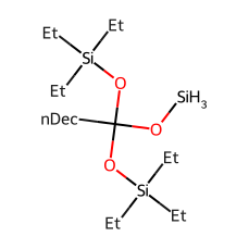 CCCCCCCCCCC(O[SiH3])(O[Si](CC)(CC)CC)O[Si](CC)(CC)CC